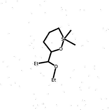 CCOC(CC)C1CCC[Si](C)(C)O1